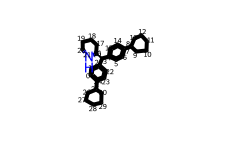 c1cc(C(c2ccc(C3CCCCC3)cc2)[C@@H]2CCCCN2)ccc1C1CCCCC1